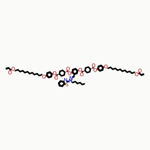 C=CC(=O)OCCCCCCCCCCCCOc1ccc(OC(=O)[C@H]2CC[C@H](C(=O)Oc3ccc(OC(=O)[C@H]4CC[C@H](C(=O)Oc5ccc(OCCCCCCCCCCCCOC(=O)C=C)cc5)CC4)c(/C=N/N(CCCCCC)c4nc5ccccc5s4)c3)CC2)cc1